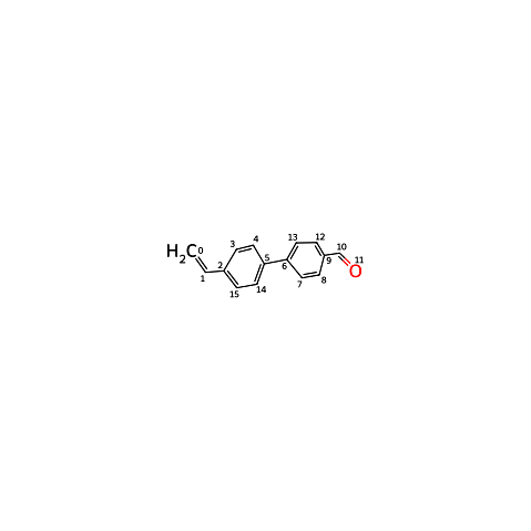 C=Cc1ccc(-c2ccc(C=O)cc2)cc1